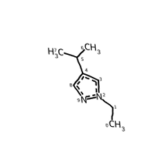 CCn1cc(C(C)C)cn1